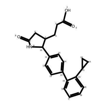 O=C(O)CCC1CC(=O)NC1c1ccc(-c2ccccc2C2CC2)cc1